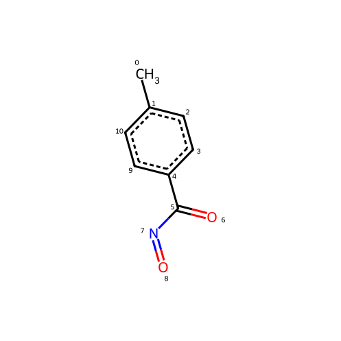 Cc1ccc(C(=O)N=O)cc1